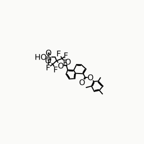 Cc1cc(C)c(OC(=O)c2cccc3c(C(=O)OC(CS(=O)(=O)O)(C(F)(F)F)C(F)(F)F)cccc23)c(C)c1